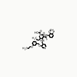 C=CCOc1cccc(COc2cnccc2CNC2=C(C(=S)Nc3cccc(F)c3OC)C(=O)N(C(=O)O)CC2CC=C)c1